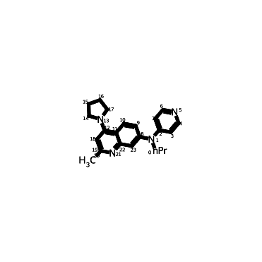 CCCN(c1ccncc1)c1ccc2c(N3CCCC3)cc(C)nc2c1